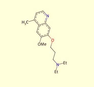 CCN(CC)CCCOc1cc2nccc(C)c2cc1OC